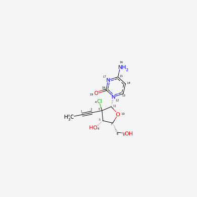 CC#CC1(Cl)[C@@H](O)[C@@H](CO)O[C@H]1n1ccc(N)nc1=O